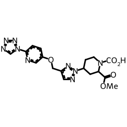 COC(=O)C1CC(n2ncc(COc3ccc(-n4cnnn4)nc3)n2)CCN1C(=O)O